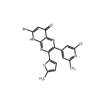 Cc1cc(-c2nc3c(=O)cc(Br)[nH]c3nc2-c2ccc(C)o2)cc(Cl)n1